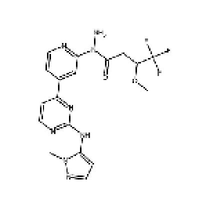 COC(CC(=O)N(N)c1cc(-c2ccnc(Nc3ccnn3C)n2)ccn1)C(F)(F)F